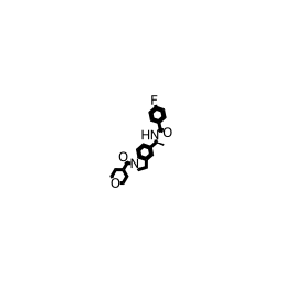 C[C@H](NC(=O)c1ccc(F)cc1)c1ccc2c(c1)CCN2C(=O)C1CCOCC1